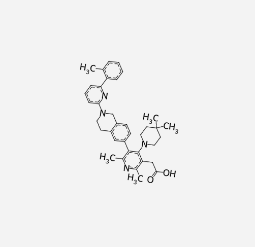 Cc1ccccc1-c1cccc(N2CCc3cc(-c4c(C)nc(C)c(CC(=O)O)c4N4CCC(C)(C)CC4)ccc3C2)n1